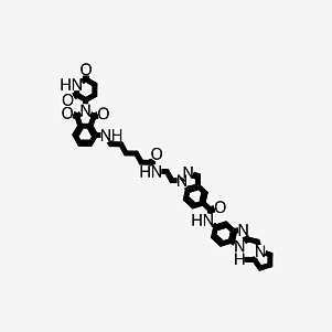 CC1CCCN1Cc1nc2cc(NC(=O)c3ccc4c(cnn4CCNC(=O)CCCCCNc4cccc5c4C(=O)N(C4CCC(=O)NC4=O)C5=O)c3)ccc2[nH]1